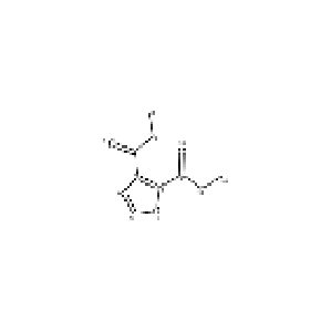 CCC(=O)c1ccoc1C(=O)CC